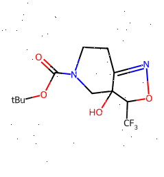 CC(C)(C)OC(=O)N1CCC2=NOC(C(F)(F)F)C2(O)C1